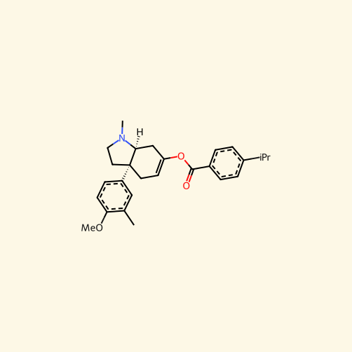 COc1ccc([C@@]23CC=C(OC(=O)c4ccc(C(C)C)cc4)C[C@@H]2N(C)CC3)cc1C